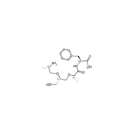 C[C@H](N)CO[C@@H](CO)CO[C@@H](C)C(=O)N[C@@H](Cc1ccccc1)C(=O)O